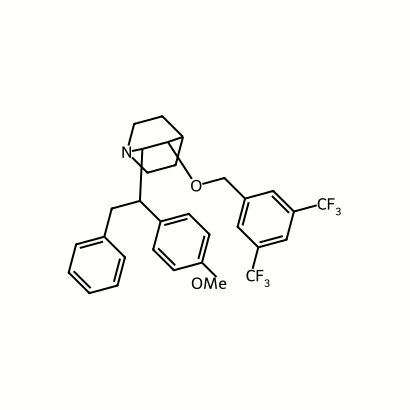 COc1ccc(C(Cc2ccccc2)C2C(OCc3cc(C(F)(F)F)cc(C(F)(F)F)c3)C3CCN2CC3)cc1